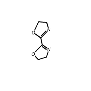 C1COC(C2=NCCO2)=N1